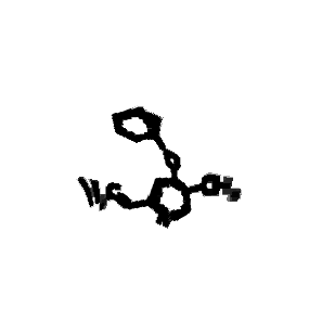 C=Cc1cc(Oc2ccccc2)c(C)cn1